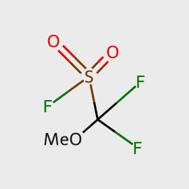 COC(F)(F)S(=O)(=O)F